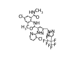 CNC(=O)c1cc(Cl)cc(C)c1NC(=O)c1cc(Cn2ncc(C(F)(C(F)(F)F)C(F)(F)F)n2)nn1-c1ncccc1Cl